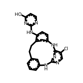 Oc1ccnc(Nc2ccc3cc2CCc2cccc(c2)Nc2ncc(Cl)c(n2)N3)n1